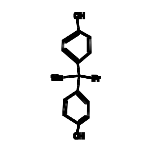 CC(C)C(c1ccc(O)cc1)(c1ccc(O)cc1)C(C)(C)C